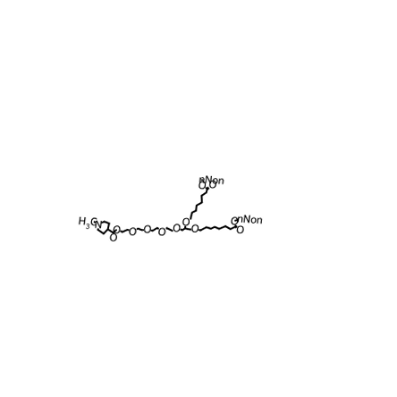 CCCCCCCCCOC(=O)CCCCCCCOCC(COCCOCCOCCOCCOC(=O)C1CCN(C)CC1)OCCCCCCCC(=O)OCCCCCCCCC